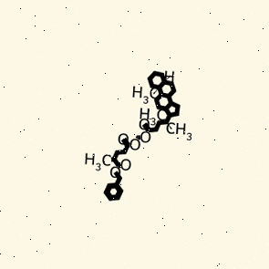 CC(CCC(=O)OCOC(=O)CC[C@@H](C)C1CCC2C3CC[C@@H]4CCCC[C@]4(C)C3CC[C@@]21C)C(=O)OCc1ccccc1